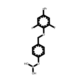 CCCc1cc(F)c(OCc2ccc(OB(O)O)cc2)c(F)c1